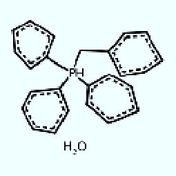 O.c1ccc(C[PH](c2ccccc2)(c2ccccc2)c2ccccc2)cc1